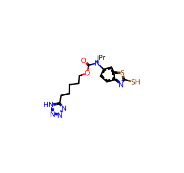 CC(C)N(C(=O)OCCCCCc1nnn[nH]1)c1ccc2nc(S)sc2c1